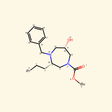 CC(C)CC[C@H]1CN(C(=O)OC(C)(C)C)C[C@@H](O)CN1Cc1ccccc1